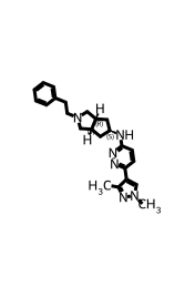 Cc1nn(C)cc1-c1ccc(N[C@H]2C[C@@H]3CN(CCc4ccccc4)C[C@@H]3C2)nn1